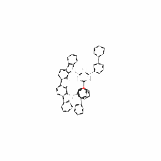 c1ccc(-c2cccc(-c3nc(-c4ccccc4)nc(-n4c5ccccc5c5ccc6c7ccc8c9ccccc9n(-c9ccccc9-c9ccccc9)c8c7sc6c54)n3)c2)cc1